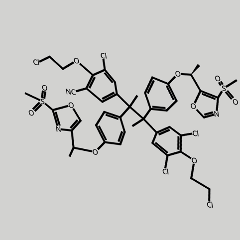 CC(Oc1ccc(C(C)(c2cc(Cl)c(OCCCl)c(C#N)c2)C(C)(c2ccc(O[C@@H](C)c3ocnc3S(C)(=O)=O)cc2)c2cc(Cl)c(OCCCl)c(Cl)c2)cc1)c1coc(S(C)(=O)=O)n1